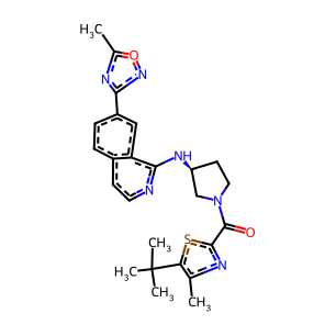 Cc1nc(-c2ccc3ccnc(N[C@H]4CCN(C(=O)c5nc(C)c(C(C)(C)C)s5)C4)c3c2)no1